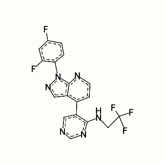 Fc1ccc(-n2ncc3c(-c4cncnc4NCC(F)(F)F)ccnc32)c(F)c1